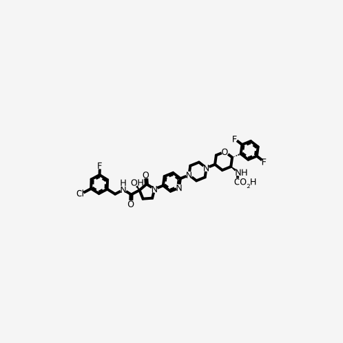 O=C(O)N[C@H]1CC(N2CCN(c3ccc(N4CC[C@](O)(C(=O)NCc5cc(F)cc(Cl)c5)C4=O)cn3)CC2)CO[C@@H]1c1cc(F)ccc1F